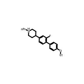 CCC[SiH]1CCC(c2ccc(-c3ccc(OCC)cc3)c(F)c2)CC1